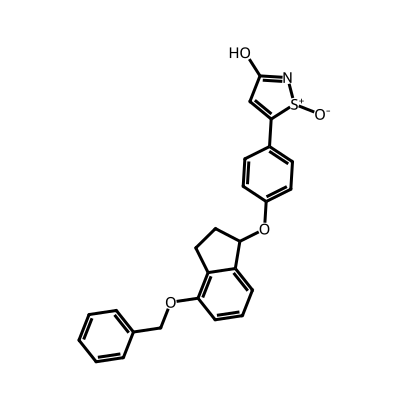 [O-][s+]1nc(O)cc1-c1ccc(OC2CCc3c(OCc4ccccc4)cccc32)cc1